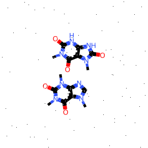 Cn1c(=O)[nH]c2[nH]c(=O)n(C)c2c1=O.Cn1c(=O)c2c(ncn2C)n(C)c1=O